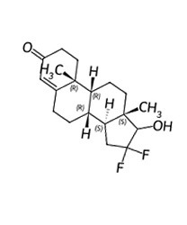 C[C@]12CCC(=O)C=C1CC[C@@H]1[C@H]2CC[C@]2(C)C(O)C(F)(F)C[C@@H]12